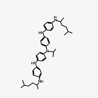 CC(C)CCC(C)Nc1ccc(Nc2ccc(N(c3ccc(Nc4ccc(NC(C)CCC(C)C)cc4)cc3)C(C)C)cc2)cc1